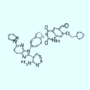 Nc1ncccc1-c1nc2ccc(-n3cccn3)nc2n1-c1ccc2c(c1)CC[C@@H]2n1c(=O)[nH]c2cc(OCc3ccccc3)c(C=O)cc2c1=O